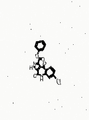 O=C(Oc1ccccc1)c1n[nH]c2c(=O)[nH]c3cc(Cl)ccc3c(=O)c12